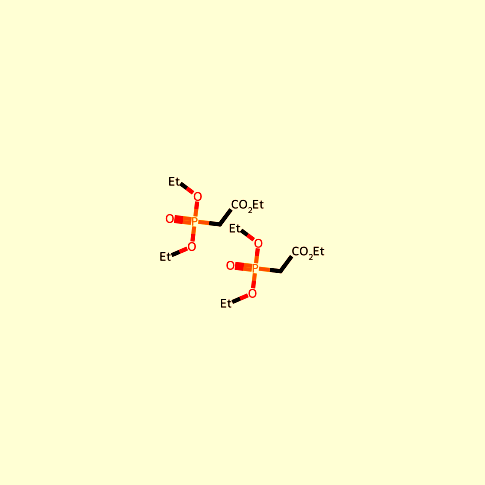 CCOC(=O)CP(=O)(OCC)OCC.CCOC(=O)CP(=O)(OCC)OCC